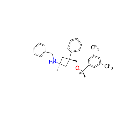 C[C@@H](OC[C@]1(c2ccccc2)C[C@](C)(NCc2ccccc2)C1)c1cc(C(F)(F)F)cc(C(F)(F)F)c1